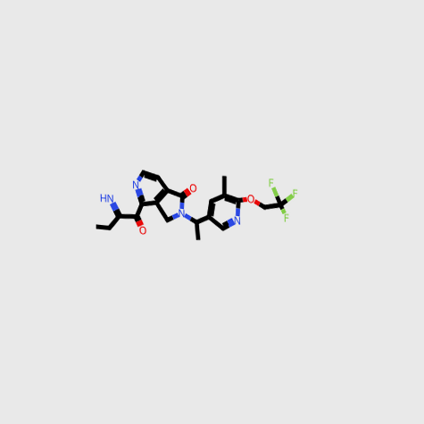 CCC(=N)C(=O)c1nccc2c1CN(C(C)c1cnc(OCC(F)(F)F)c(C)c1)C2=O